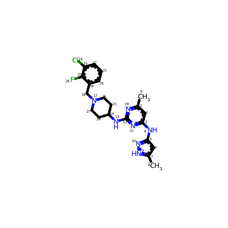 Cc1cc(Nc2cc(C)[nH]n2)nc(NC2CCN(Cc3cccc(Cl)c3F)CC2)n1